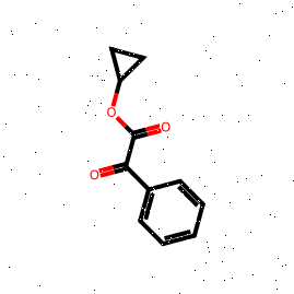 O=C(OC1CC1)C(=O)c1ccccc1